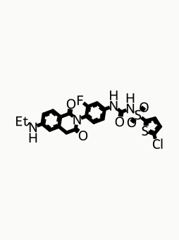 CCNc1ccc2c(c1)CC(=O)N(c1ccc(NC(=O)NS(=O)(=O)c3ccc(Cl)s3)cc1F)C2=O